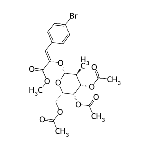 COC(=O)/C(=C/c1ccc(Br)cc1)O[C@H]1O[C@@H](COC(C)=O)[C@@H](OC(C)=O)[C@@H](OC(C)=O)[C@@H]1C